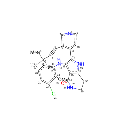 CNC(C)(C)C#Cc1cnccc1-c1[nH]c2c(c1Nc1cccc(Cl)c1OC)C(=O)NCC2